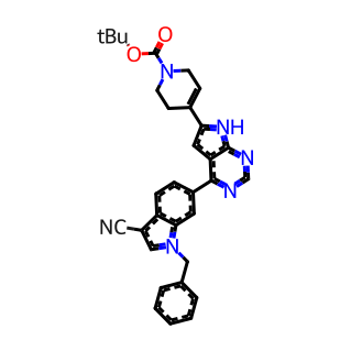 CC(C)(C)OC(=O)N1CC=C(c2cc3c(-c4ccc5c(C#N)cn(Cc6ccccc6)c5c4)ncnc3[nH]2)CC1